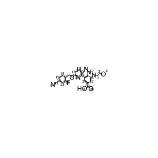 COCCN1CN(N)c2c(-c3cccc(OCc4ccc(C#N)cc4F)n3)cc(C(=O)O)cc21